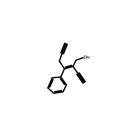 C#CC/C(=C(/C#C)CO)c1ccccc1